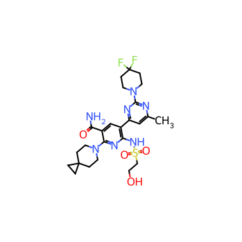 Cc1cc(-c2cc(C(N)=O)c(N3CCC4(CC3)CC4)nc2NS(=O)(=O)CCO)nc(N2CCC(F)(F)CC2)n1